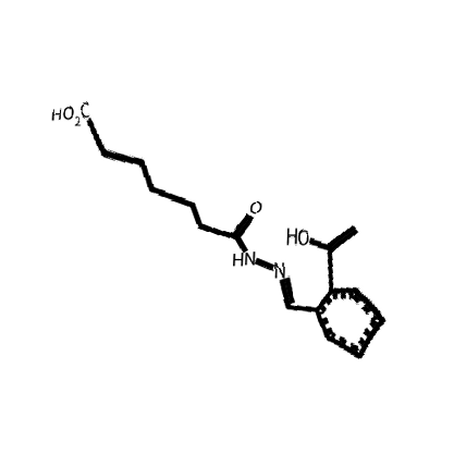 C=C(O)c1ccccc1/C=N/NC(=O)CCCCCC(=O)O